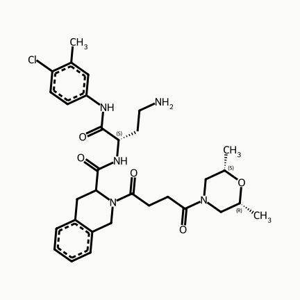 Cc1cc(NC(=O)[C@H](CCN)NC(=O)C2Cc3ccccc3CN2C(=O)CCC(=O)N2C[C@@H](C)O[C@@H](C)C2)ccc1Cl